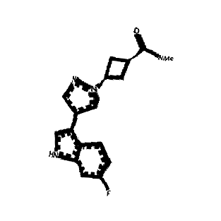 CNC(=O)[C@H]1C[C@@H](n2cc(-c3c[nH]c4cc(F)ccc34)cn2)C1